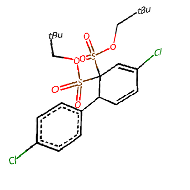 CC(C)(C)COS(=O)(=O)C1(S(=O)(=O)OCC(C)(C)C)C=C(Cl)C=CC1c1ccc(Cl)cc1